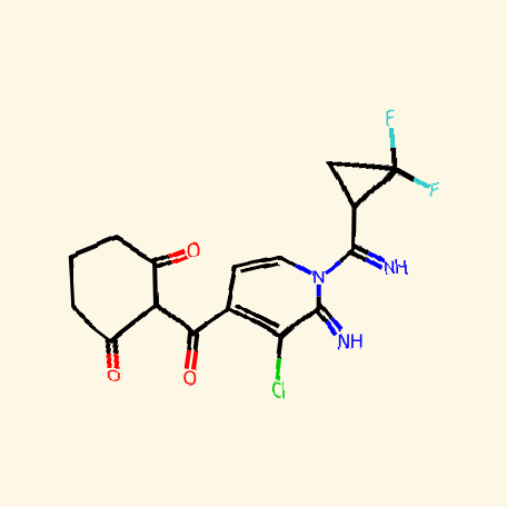 N=C(C1CC1(F)F)n1ccc(C(=O)C2C(=O)CCCC2=O)c(Cl)c1=N